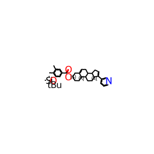 Cc1cc(C(=O)O[C@H]2CC[C@@]3(C)C(=CCC4C3CC[C@]3(C)C(c5cccnc5)=CCC43)C2)cc(O[Si](C)(C)C(C)(C)C)c1C